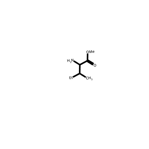 [CH2]OC(=O)C(N)C(C)CC